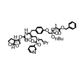 CCCCOP(=O)(COc1ccc(C[C@H](NC(=O)O[C@H]2CO[C@H]3OCC[C@H]32)[C@H](O)CN(CC(C)C)S(=O)(=O)c2cccnc2)cc1)O[C@@H](C)C(=O)OCc1ccccc1